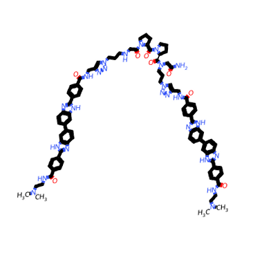 CN(C)CCNC(=O)c1ccc(-c2nc3ccc(-c4ccc5nc(-c6ccc(C(=O)NCc7cn(CCCNCC(=O)N8CCCC8C(=O)N8CCC[C@H]8C(=O)N(CCCn8cc(CNC(=O)c9ccc(-c%10nc%11ccc(-c%12ccc%13nc(-c%14ccc(C(=O)NCCN(C)C)cc%14)[nH]c%13c%12)cc%11[nH]%10)cc9)nn8)CC(N)=O)nn7)cc6)[nH]c5c4)cc3[nH]2)cc1